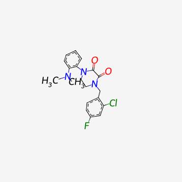 CN(C)c1ccccc1N1CCN(Cc2ccc(F)cc2Cl)C(=O)C1=O